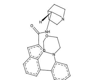 O=C(N[C@H]1CN2CCC1CC2)c1cc2cccc(-c3ccccc3N3CCOCC3)c2o1